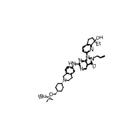 C=CCn1c(=O)c2cnc(Nc3ccc4c(c3)CCN([C@H]3CC[C@H](CO[Si](C)(C)C(C)(C)C)CC3)C4)nc2n1-c1ccc2c(n1)[C@@](O)(CC)CC2